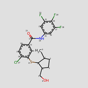 CC1CCC(CO)C1Sc1cc(C(=O)Nc2cc(F)c(F)c(F)c2)ccc1Cl